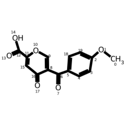 COc1ccc(C(=O)c2coc(C(=O)O)cc2=O)cc1